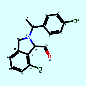 CC(c1ccc(Cl)cc1)N1Cc2cccc(Cl)c2C1C=O